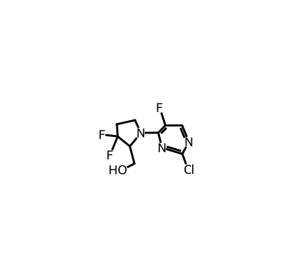 OCC1N(c2nc(Cl)ncc2F)CCC1(F)F